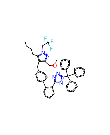 CCCCc1c(Cc2ccc(-c3ccccc3-c3nnn(C(c4ccccc4)(c4ccccc4)c4ccccc4)n3)cc2)c(COC)nn1CC(F)(F)F